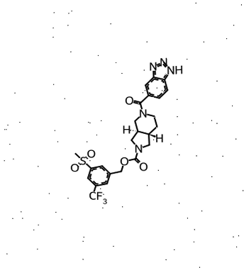 CS(=O)(=O)c1cc(COC(=O)N2C[C@H]3CCN(C(=O)c4ccc5[nH]nnc5c4)C[C@@H]3C2)cc(C(F)(F)F)c1